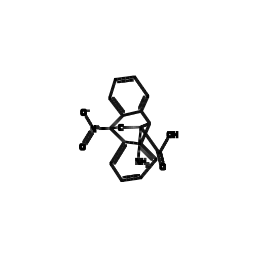 NC1(C(=O)O)CC2([N+](=O)[O-])c3ccccc3C1c1ccccc12